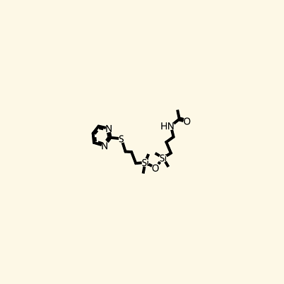 CC(=O)NCCC[Si](C)(C)O[Si](C)(C)CCCSc1ncccn1